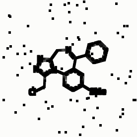 CSc1ccc2c(c1)C(c1ccccc1)=NCc1nnc(CCl)n1-2